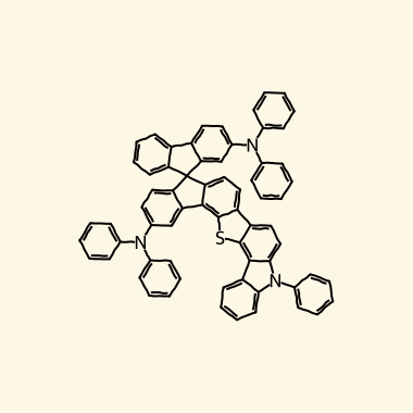 c1ccc(N(c2ccccc2)c2ccc3c(c2)-c2c(ccc4c2sc2c4ccc4c2c2ccccc2n4-c2ccccc2)C32c3ccccc3-c3ccc(N(c4ccccc4)c4ccccc4)cc32)cc1